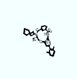 Cc1cccc(C)c1-c1cc2nc(n1)NS(=O)(=O)c1cccc(c1)C(=O)N(C1CC3(CCCC3)C1)[C@H](CC(C)C)CO2